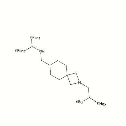 CCCCCCC(CCCC)CN1CC2(CCC(CNC(CCCCC)CCCCC)CC2)C1